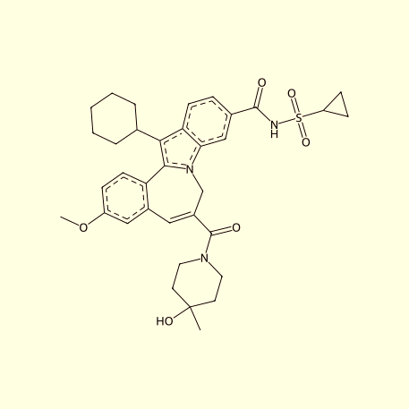 COc1ccc2c(c1)C=C(C(=O)N1CCC(C)(O)CC1)Cn1c-2c(C2CCCCC2)c2ccc(C(=O)NS(=O)(=O)C3CC3)cc21